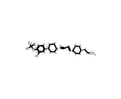 CCC[C@H]1CC[C@H](/C=C/C#C[C@H]2CC[C@H](c3ccc(OC(F)(F)F)c(F)c3)CC2)CC1